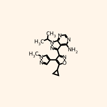 CC(C)n1nc(-c2noc(C3CC3)c2-c2cnn(C)c2)c2c(N)ncnc21